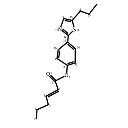 CCCC=CC(=O)Oc1ccc(-c2ncc(CCC)s2)cc1